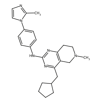 Cc1nccn1-c1ccc(Nc2nc3c(c(CC4CCCC4)n2)CN(C)CC3)cc1